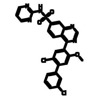 COc1cc(-c2cccc(Cl)c2)c(Cl)cc1-c1ncnc2cc(S(=O)(=O)Nc3ncccn3)ccc12